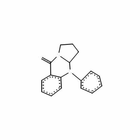 O=C1c2ccccc2N(c2ccccc2)C2CCCN12